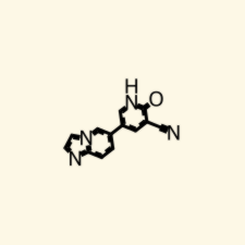 N#Cc1cc(-c2ccc3nccn3c2)c[nH]c1=O